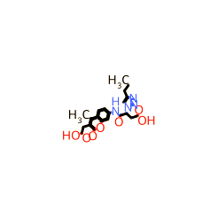 CCCc1cn(C(CC(=O)O)C(=O)Nc2ccc3c(C)c(CC(=O)O)c(=O)oc3c2)nn1